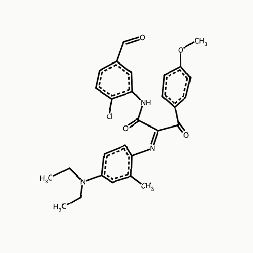 CCN(CC)c1ccc(N=C(C(=O)Nc2cc(C=O)ccc2Cl)C(=O)c2ccc(OC)cc2)c(C)c1